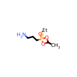 CCO[PH]1(CCCN)OC(C)O1